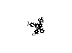 CN(C)C1CCN(C(=O)Cn2c(-c3ccc(Cl)cc3)c(C3CCCCC3)c3ccc(-c4noc(=O)[nH]4)cc32)CC1